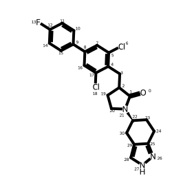 O=C1C(Cc2c(Cl)cc(-c3ccc(F)cc3)cc2Cl)CCN1[C@H]1CCc2n[nH]cc2C1